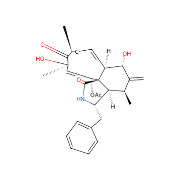 C=C1[C@@H](C)[C@H]2[C@H](Cc3ccccc3)NC(=O)[C@]23[C@H](OC(C)=O)/C=C\[C@@](C)(O)C(=O)[C@@H](C)C/C=C/[C@H]3[C@@H]1O